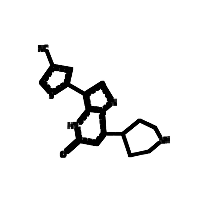 N#Cc1csc(-c2cnn3c(C4CCNCC4)cc(=O)[nH]c23)c1